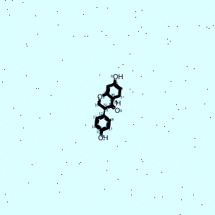 O=C1[C@@H]2CC=C(O)C=C2OC[C@@H]1c1ccc(O)cc1